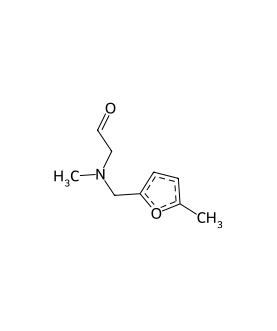 Cc1ccc(CN(C)CC=O)o1